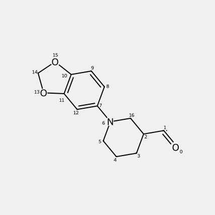 O=[C]C1CCCN(c2ccc3c(c2)OCO3)C1